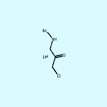 CC(=O)NCC(=O)CCl.[LiH]